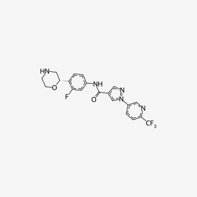 O=C(Nc1ccc([C@H]2CNCCO2)c(F)c1)c1cnn(-c2ccc(C(F)(F)F)nc2)c1